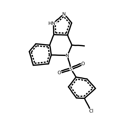 CC1c2cn[nH]c2-c2ccccc2N1S(=O)(=O)c1ccc(Cl)cc1